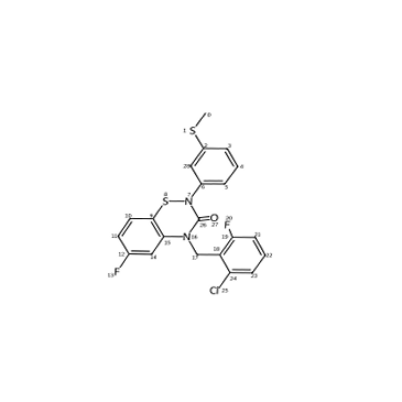 CSc1cccc(N2Sc3ccc(F)cc3N(Cc3c(F)cccc3Cl)C2=O)c1